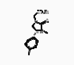 CCOC(=O)CN1C[C@@H](c2ccc(C)cc2)[C@H](C)C1=O